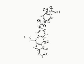 CCCCc1oc2ccccc2c1C(=O)c1ccc(OS(=O)(=O)c2ccc(C(=O)O)c(O)c2)cc1